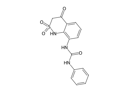 O=C(Nc1ccccc1)Nc1cccc2c1NS(=O)(=O)CC2=O